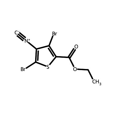 [C-]#[N+]c1c(Br)sc(C(=O)OCC)c1Br